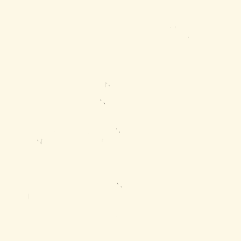 COc1cnc(Cl)cc1-c1cc(C)ncc1C(=O)Nc1nnc(OCC2COC3(CCC3)C2)s1